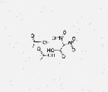 CC(=O)O.CC(=O)O.O=C(O)C([N+](=O)[O-])[N+](=O)[O-]